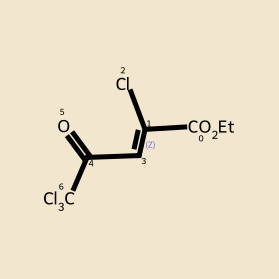 CCOC(=O)/C(Cl)=C/C(=O)C(Cl)(Cl)Cl